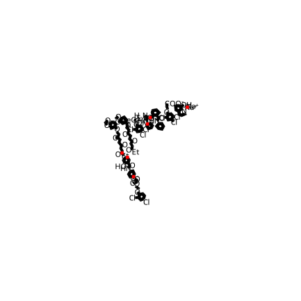 CCC(=O)CCC(=O)CCC(=O)CCOc1ccc2c(c1)OCO2.CCC(=O)CCC(=O)CCC(=O)CCOc1ccc2c(c1)OCO2.COP(=S)(OC)Oc1cc(Cl)c(Cl)cc1Cl.NC(=O)Nc1ccccc1.O=C(Nc1ccccc1)c1ccccc1O.O=C(Nc1ccccc1)c1ccccc1O.O=C([O-])CCOc1cc(Cl)c(Cl)cc1Cl.O=S(=O)([O-])OCCOc1ccc(Cl)cc1Cl.Oc1cccc2cccnc12.[Na+].[Na+]